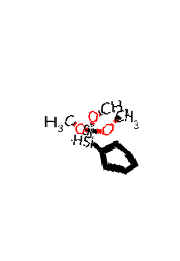 CO[Si](OC)(OC)[SiH]c1ccccc1